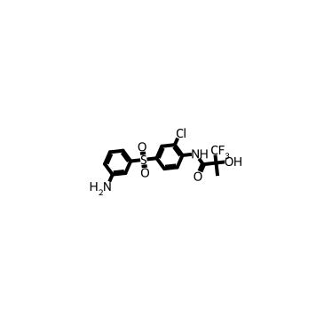 CC(O)(C(=O)Nc1ccc(S(=O)(=O)c2cccc(N)c2)cc1Cl)C(F)(F)F